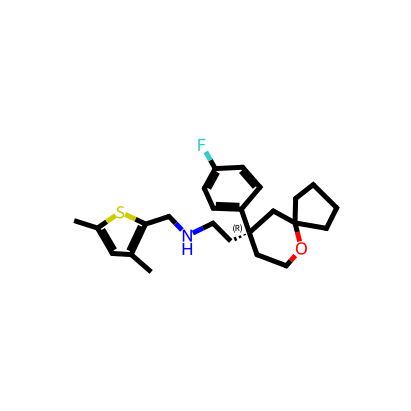 Cc1cc(C)c(CNCC[C@@]2(c3ccc(F)cc3)CCOC3(CCCC3)C2)s1